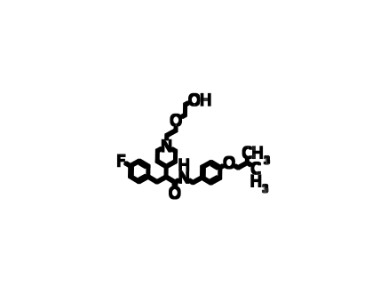 CC(C)COc1ccc(CNC(=O)C(Cc2ccc(F)cc2)C2CCN(CCOCCO)CC2)cc1